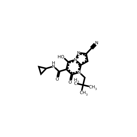 CC(C)(C)Cn1c(=O)c(C(=O)NC2CC2)c(O)n2nc(C#N)cc12